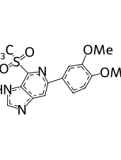 COc1ccc(-c2cc3nc[nH]c3c(S(C)(=O)=O)n2)cc1OC